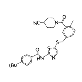 Cc1ccc(CSc2cnc(NC(=O)c3ccc(C(C)(C)C)cc3)s2)cc1C(=O)N1CCC(C#N)CC1